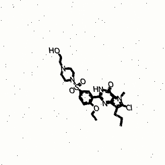 CCCc1c(Cl)n(C)c2c(=O)[nH]c(-c3cc(S(=O)(=O)N4CCN(CCO)CC4)ccc3OCC)nc12